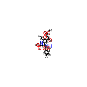 CCCc1c2nc(C(=O)OC)cc(NS(=O)(=O)c3ccc(C)c(C)c3)c2cc2c(=O)cc(C(=O)OCC)oc12